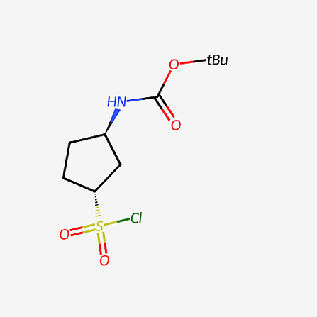 CC(C)(C)OC(=O)N[C@@H]1CC[C@@H](S(=O)(=O)Cl)C1